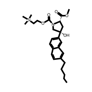 CCCCCc1ccc2ccc([C@]3(O)C[C@@H](C(=O)OC)N(C(=O)OCC[Si](C)(C)C)C3)cc2c1